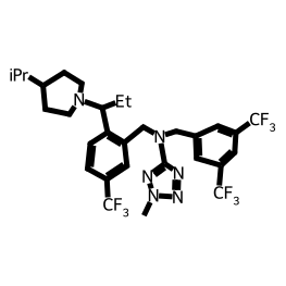 CCC(c1ccc(C(F)(F)F)cc1CN(Cc1cc(C(F)(F)F)cc(C(F)(F)F)c1)c1nnn(C)n1)N1CCC(C(C)C)CC1